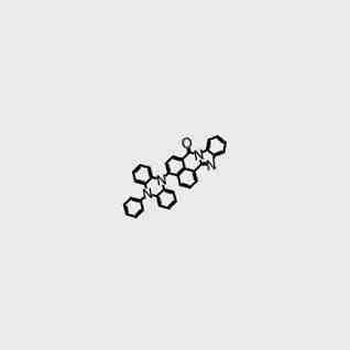 O=c1c2ccc(N3c4ccccc4N(c4ccccc4)c4ccccc43)c3cccc(c32)c2nc3ccccc3n12